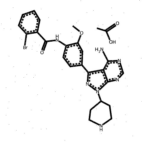 CC(=O)O.COc1cc(-c2nn(C3CCNCC3)c3ncnc(N)c23)ccc1NC(=O)c1ccccc1Br